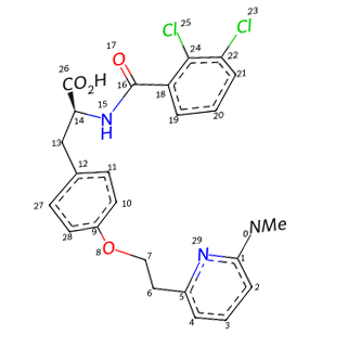 CNc1cccc(CCOc2ccc(C[C@H](NC(=O)c3cccc(Cl)c3Cl)C(=O)O)cc2)n1